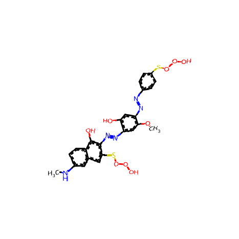 CNc1ccc2c(O)c(N=Nc3cc(OC)c(N=Nc4ccc(SOOO)cc4)cc3O)c(SOOO)cc2c1